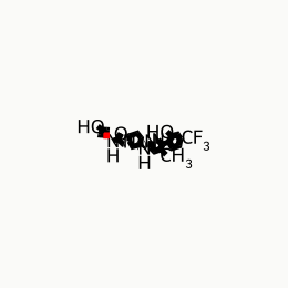 Cc1cc(N[C@@H]2CCCN(CC(=O)NC34CC(O)(C3)C4)C2)nnc1-c1ccc(C(F)(F)F)cc1O